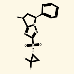 O=S(=O)(c1nc2n(n1)[C@H](c1ccccc1)C[C@@H]2F)[C@@H]1CC1(F)F